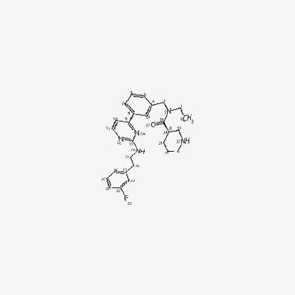 CCN(Cc1cccc(-c2ccnc(NCCc3cccc(F)c3)n2)c1)C(=O)[C@@H]1CCCNC1